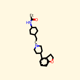 CCC(=O)NC1CCC(CCN2CCC(c3cccc4c3CCO4)CC2)CC1